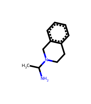 CC(N)N1CCc2ccccc2C1